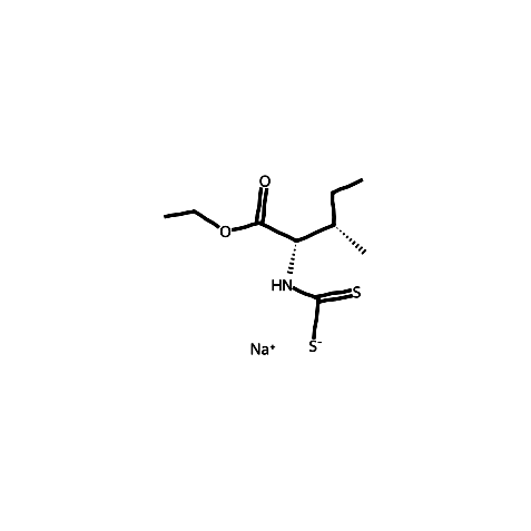 CCOC(=O)[C@@H](NC(=S)[S-])[C@@H](C)CC.[Na+]